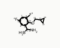 BC(N)c1cc(F)cc(F)c1OCC1CC1